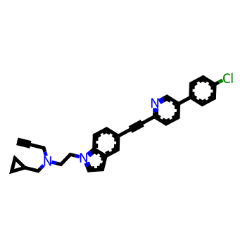 C#CCN(CCn1ccc2cc(C#Cc3ccc(-c4ccc(Cl)cc4)cn3)ccc21)CC1CC1